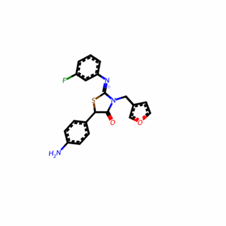 Nc1ccc(C2S/C(=N\c3cccc(F)c3)N(Cc3ccoc3)C2=O)cc1